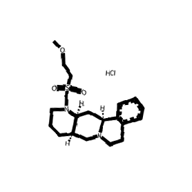 COCCS(=O)(=O)N1CCC[C@@H]2CN3CCc4ccccc4[C@@H]3C[C@@H]21.Cl